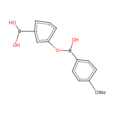 COc1ccc(B(O)Oc2cccc(B(O)O)c2)cc1